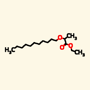 CCCCCCCCCCCOC(C)C(=O)OCC